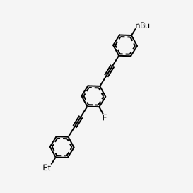 CCCCc1ccc(C#Cc2ccc(C#Cc3ccc(CC)cc3)c(F)c2)cc1